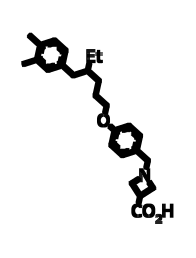 CCC(CCCOc1ccc(CN2CC(C(=O)O)C2)cc1)Cc1ccc(C)c(C)c1